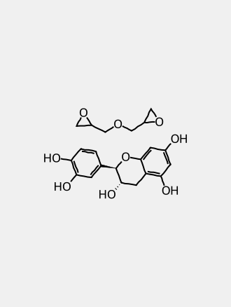 C(OCC1CO1)C1CO1.Oc1cc(O)c2c(c1)O[C@H](c1ccc(O)c(O)c1)[C@@H](O)C2